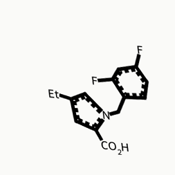 CCc1cc(C(=O)O)n(Cc2ccc(F)cc2F)c1